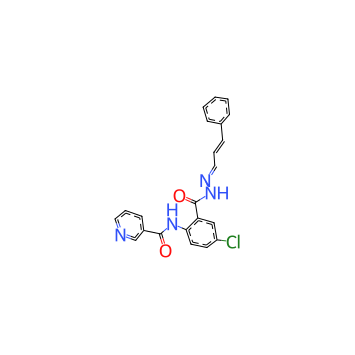 O=C(Nc1ccc(Cl)cc1C(=O)NN=CC=Cc1ccccc1)c1cccnc1